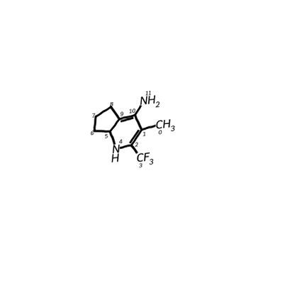 CC1=C(C(F)(F)F)NC2CCCC2=C1N